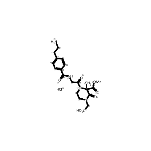 COC(=O)[C@]1(C)C(=O)N(CC(=O)O)CCN1C(=O)CNC(=O)c1ccc(CCN)cc1.Cl